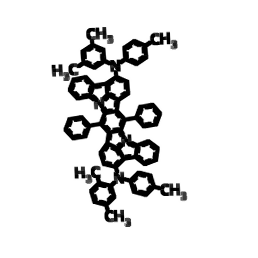 Cc1ccc(N(c2cc(C)cc(C)c2)c2ccc3c4c(-c5ccccc5)c5c(c(-c6ccccc6)c4n4c6ccccc6c2c34)c2ccc(N(c3ccc(C)cc3)c3cc(C)ccc3C)c3c4ccccc4n5c23)cc1